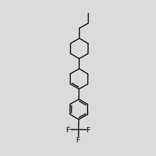 CCCC1CCC(C2CC=C(c3ccc(C(F)(F)F)cc3)CC2)CC1